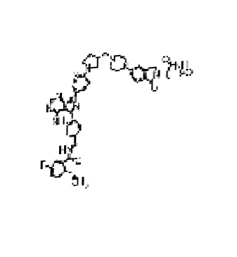 COC1CC=C(F)C=C1C(=O)NCC1C=CC(c2nn(-c3ccc(N4CC[C@@H](CN5CCN(c6ccc7c(c6)CN([C@H]6CCC(=O)NC6=O)C7=O)CC5)C4)nc3)c3ncnc(N)c23)=CC1